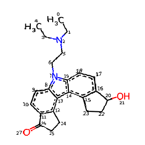 CCN(CC)CCn1c2ccc3c(c2c2c4c(ccc21)C(O)CC4)CCC3=O